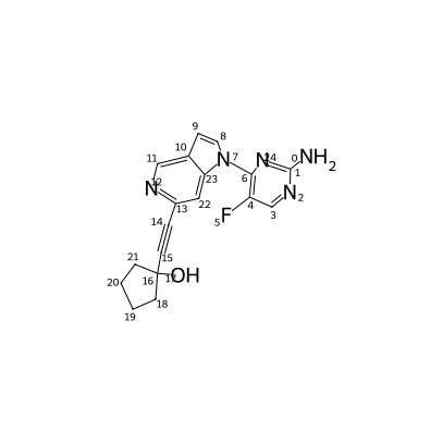 Nc1ncc(F)c(-n2ccc3cnc(C#CC4(O)CCCC4)cc32)n1